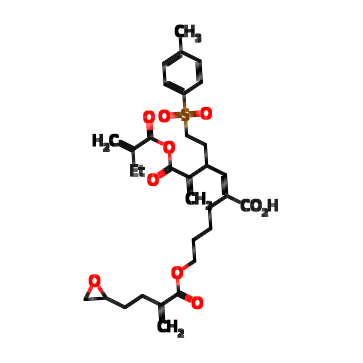 C=C(CCC1CO1)C(=O)OCCCCC(=CC(CCS(=O)(=O)c1ccc(C)cc1)C(=C)C(=O)OC(=O)C(=C)CC)C(=O)O